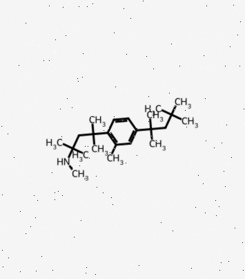 CNC(C)(C)CC(C)(C)c1ccc(C(C)(C)CC(C)(C)C)cc1C